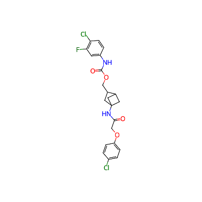 O=C(COc1ccc(Cl)cc1)NC12CC(COC(=O)Nc3ccc(Cl)c(F)c3)C(C1)C2